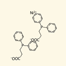 O=C([O-])CCP(c1ccccc1)c1ccccc1.O=C([O-])CCP(c1ccccc1)c1ccccc1.[Ni+2]